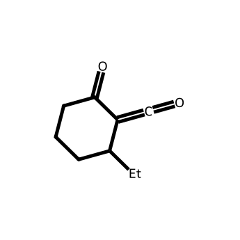 CCC1CCCC(=O)C1=C=O